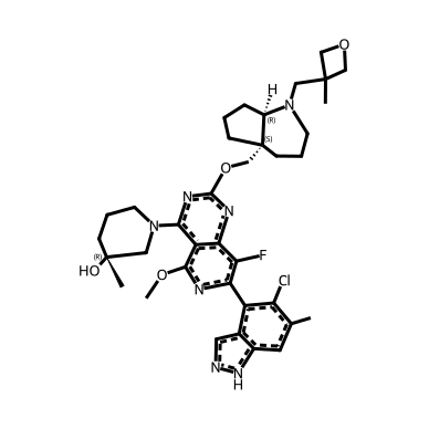 COc1nc(-c2c(Cl)c(C)cc3[nH]ncc23)c(F)c2nc(OC[C@]34CCC[C@H]3N(CC3(C)COC3)CCC4)nc(N3CCC[C@@](C)(O)C3)c12